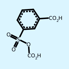 O=C(O)OS(=O)(=O)c1cccc(C(=O)O)c1